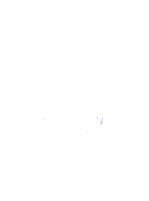 CC(=O)c1onc2ccccc12